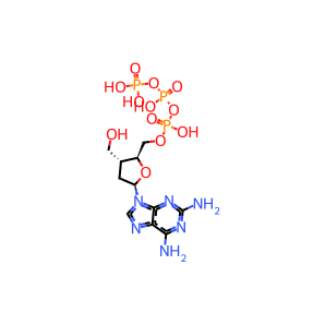 Nc1nc(N)c2ncn([C@H]3C[C@H](CO)[C@@H](COP(=O)(O)OP(=O)(O)OP(=O)(O)O)O3)c2n1